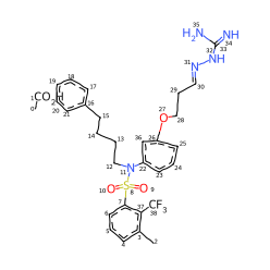 CC(=O)O.Cc1cccc(S(=O)(=O)N(CCCCc2ccccc2)c2cccc(OCCC=NNC(=N)N)c2)c1C(F)(F)F